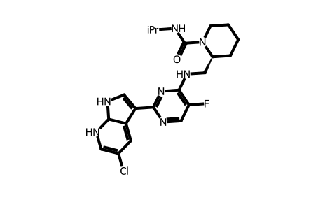 CC(C)NC(=O)N1CCCC[C@H]1CNc1nc(C2=CNC3NC=C(Cl)C=C23)ncc1F